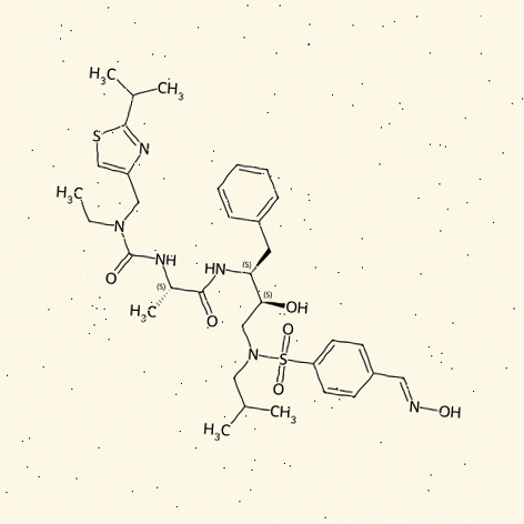 CCN(Cc1csc(C(C)C)n1)C(=O)N[C@@H](C)C(=O)N[C@@H](Cc1ccccc1)[C@@H](O)CN(CC(C)C)S(=O)(=O)c1ccc(C=NO)cc1